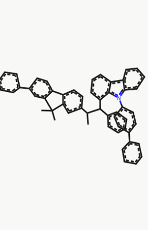 CC(c1ccc2c(c1)C(C)(C)c1cc(-c3ccccc3)ccc1-2)C(c1ccccc1)c1cccc2c3ccccc3n(-c3ccc(-c4ccccc4)cc3)c12